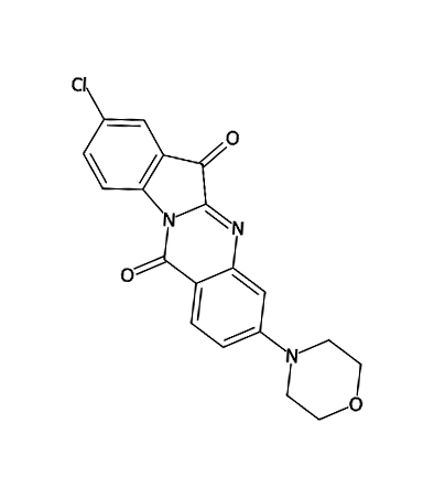 O=C1c2cc(Cl)ccc2-n2c1nc1cc(N3CCOCC3)ccc1c2=O